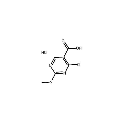 CSc1ncc(C(=O)O)c(Cl)n1.Cl